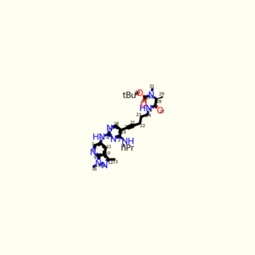 CCCNc1nc(Nc2cnc3c(c2)c(C)nn3C)ncc1C#CCCCNC(=O)[C@H](C)N(C)C(=O)OC(C)(C)C